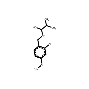 COc1ccc(CNC(O)C(C)C)c(Cl)c1